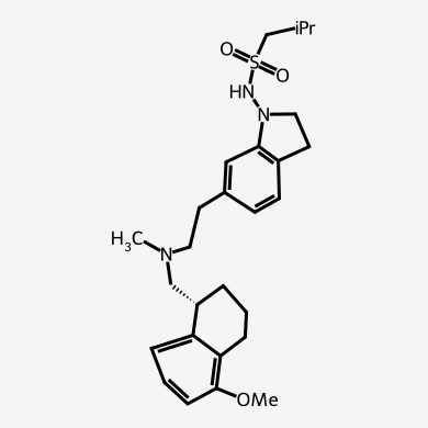 COc1cccc2c1CCC[C@H]2CN(C)CCc1ccc2c(c1)N(NS(=O)(=O)CC(C)C)CC2